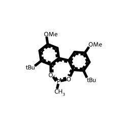 COc1cc(C(C)(C)C)c2op(C)oc3c(C(C)(C)C)cc(OC)cc3c2c1